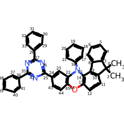 CC1(C)c2ccccc2-c2c1ccc1c2N(c2ccccc2)c2cc(-c3nc(-c4ccccc4)nc(-c4ccccc4)n3)ccc2O1